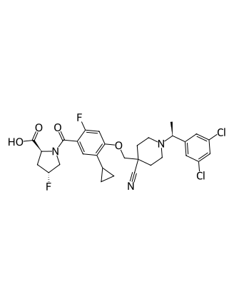 C[C@@H](c1cc(Cl)cc(Cl)c1)N1CCC(C#N)(COc2cc(F)c(C(=O)N3C[C@H](F)C[C@H]3C(=O)O)cc2C2CC2)CC1